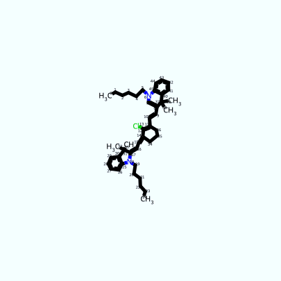 CCCCCCN1C=C(/C=C/C2=C(Cl)C(=C/C=C3/N(CCCCCC)c4ccccc4C3(C)C)/CCC2)C(C)(C)c2ccccc21